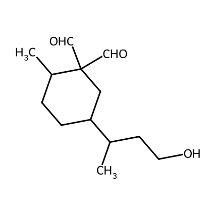 CC(CCO)C1CCC(C)C(C=O)(C=O)C1